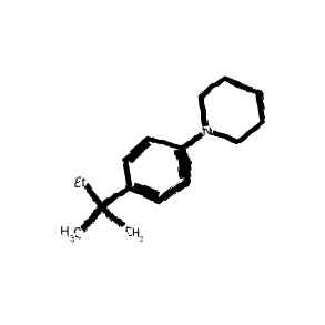 CCC(C)(C)c1ccc(N2CCCCC2)cc1